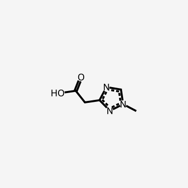 Cn1cnc(CC(=O)O)n1